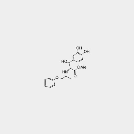 COC(=O)[C@@H](NC(C)COc1ccccc1)C(O)c1ccc(O)c(O)c1